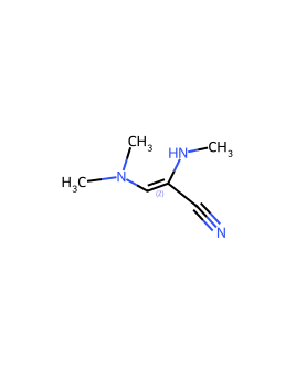 CN/C(C#N)=C\N(C)C